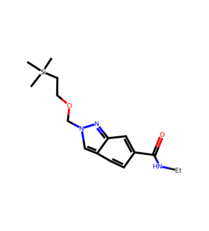 CCNC(=O)c1ccc2cn(COCC[Si](C)(C)C)nc2c1